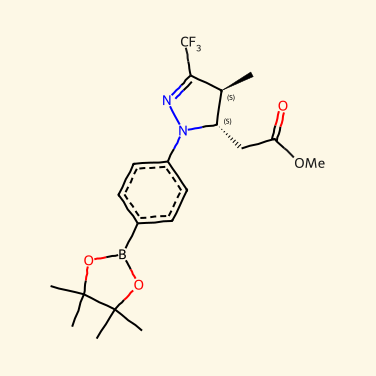 COC(=O)C[C@H]1[C@H](C)C(C(F)(F)F)=NN1c1ccc(B2OC(C)(C)C(C)(C)O2)cc1